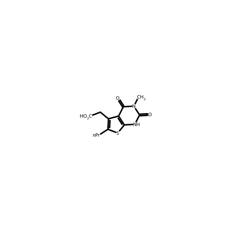 CCCc1sc2[nH]c(=O)n(C)c(=O)c2c1CC(=O)O